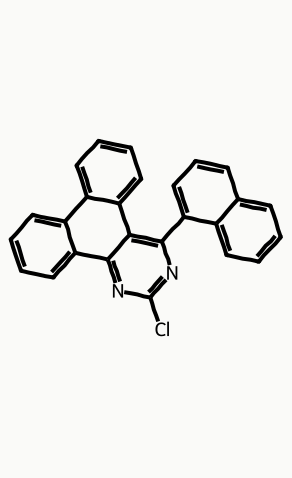 Clc1nc(-c2cccc3ccccc23)c2c3ccccc3c3ccccc3c2n1